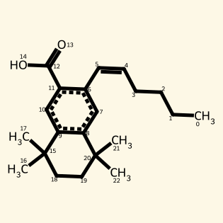 CCCC/C=C\c1cc2c(cc1C(=O)O)C(C)(C)CCC2(C)C